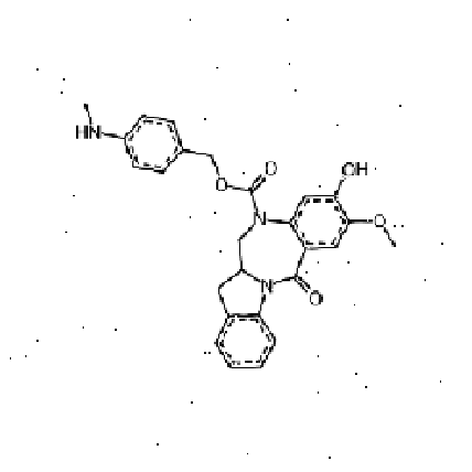 CNc1ccc(COC(=O)N2CC3Cc4ccccc4N3C(=O)c3cc(OC)c(O)cc32)cc1